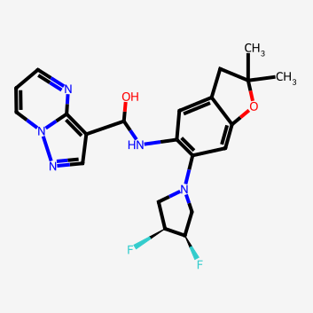 CC1(C)Cc2cc(NC(O)c3cnn4cccnc34)c(N3C[C@@H](F)[C@@H](F)C3)cc2O1